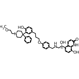 COCCN1CCC(c2ccccc2)(c2cc(CCCOc3ccc(CNC[C@H](O)c4ccc(O)c5[nH]c(=O)ccc45)cc3)ccc2O)CC1